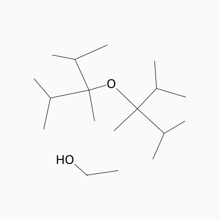 CC(C)C(C)(OC(C)(C(C)C)C(C)C)C(C)C.CCO